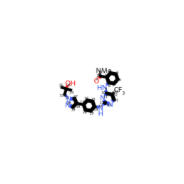 CNC(=O)c1ccccc1Nc1nc(Nc2ccc(-c3cnn(CC(C)(C)O)c3)cc2)ncc1C(F)(F)F